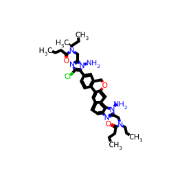 CCCC(=O)N(CCC)Cc1nc2ccc3cc4c(cc3c2n1N)OCc1cc(-c2c(Cl)nc(CN(C(=O)CCC)[C@@H](C)CC)n2N)ccc1-4